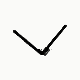 N.N.N.N.N.N.N.N.N.N.N.N.N.N.N.N.N.N.N.[Ar].[Ar].[Ar].[Ar].[Ar].[Ar].[Ar].[Ar].[Ar].[Ar].[Ar].[Ar].[Ar].[Ar].[Ar].[Ar].[Ar].[Ar].[Ar].[Ar].[Ar].[Ar].[Ar].[Ar].[Ar].[Ar].[Ar].[Ar].[Ar].[Ar].[Ar].[Ar].[Ar].[Ar].[Ar].[Ar].[Ar].[Ar].[Ar].[Ar].[Ar].[Ar].[Ar].[Ar].[Ar].[Ar].[Ar].[Ar].[Ar].[Ar].[Ar].[Ar].[Ar].[Ar].[Ar].[Ar].[Ar].[Ar].[Ar].[Ar].[Ar].[Ar].[Ar].[Ar].[Ar].[Ar].[Ar].[Ar].[Ar].[Ar].[Ar].[Ar].[Ar].[Ar].[Ar].[Ar].[Ar].[Ar].[Ar].[Ar].[N]